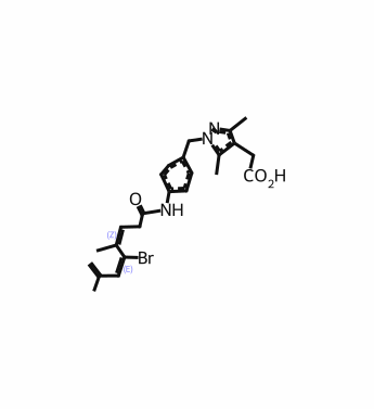 C=C(C)/C=C(Br)\C(C)=C/CC(=O)Nc1ccc(Cn2nc(C)c(CC(=O)O)c2C)cc1